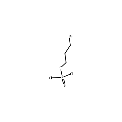 CC(C)CCCSP(=S)(Cl)Cl